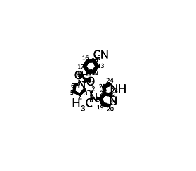 CN(C[C@@H]1CCCN1S(=O)(=O)c1ccc(C#N)cc1)c1ccnc2[nH]ccc12